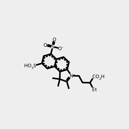 CCC(CC[N+]1=C(C)C(C)(C)c2c1ccc1c(S(=O)(=O)[O-])cc(S(=O)(=O)O)cc21)C(=O)O